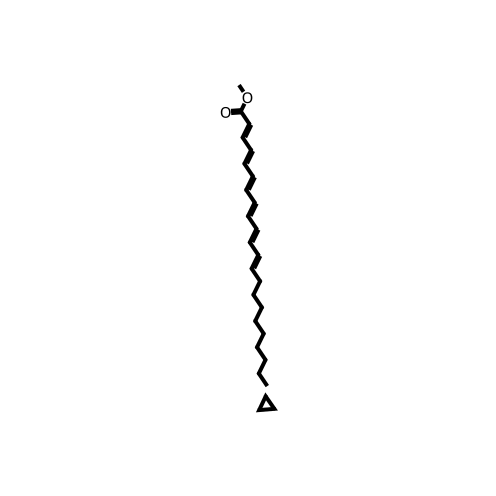 C1CC1.CCCCCCCCC/C=C/C=C/C=C/C=C/C=C/C=C/C(=O)OC